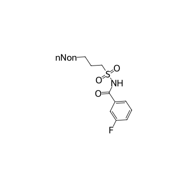 CCCCCCCCCCCCS(=O)(=O)NC(=O)c1cccc(F)c1